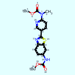 CN(C(=O)OC(C)(C)C)c1ccc(-c2nc3ccc(NC(=O)OC(C)(C)C)cc3s2)cn1